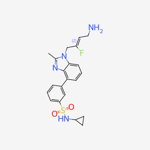 Cc1nc2c(-c3cccc(S(=O)(=O)NC4CC4)c3)cccc2n1C/C(F)=C/CN